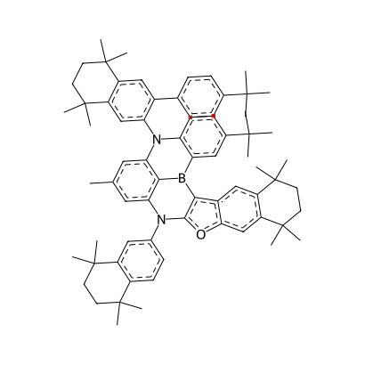 Cc1cc2c3c(c1)N(c1ccc4c(c1)C(C)(C)CCC4(C)C)c1oc4cc5c(cc4c1B3c1cc(C(C)(C)C)ccc1N2c1cc2c(cc1-c1ccc(C(C)(C)C)cc1)C(C)(C)CCC2(C)C)C(C)(C)CCC5(C)C